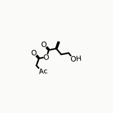 C=C(CCO)C(=O)OC(=O)CC(C)=O